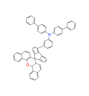 C1=CC2C(Oc3c(ccc4ccccc34)C23c2ccccc2-c2c(-c4cccc(N(c5ccc(-c6ccccc6)cc5)c5ccc(-c6ccccc6)cc5)c4)cccc23)c2ccccc21